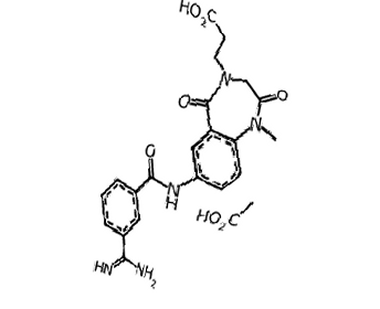 CC(=O)O.CN1C(=O)CN(CCC(=O)O)C(=O)c2cc(NC(=O)c3cccc(C(=N)N)c3)ccc21